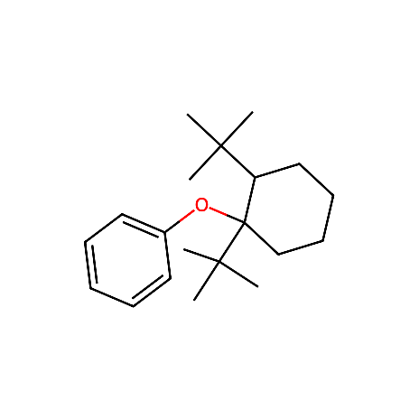 CC(C)(C)C1CCCCC1(Oc1ccccc1)C(C)(C)C